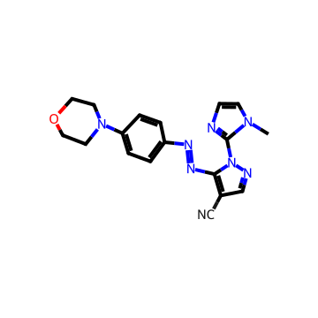 Cn1ccnc1-n1ncc(C#N)c1/N=N/c1ccc(N2CCOCC2)cc1